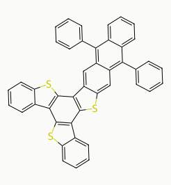 c1ccc(-c2c3ccccc3c(-c3ccccc3)c3cc4c(cc23)sc2c3c5ccccc5sc3c3c5ccccc5sc3c42)cc1